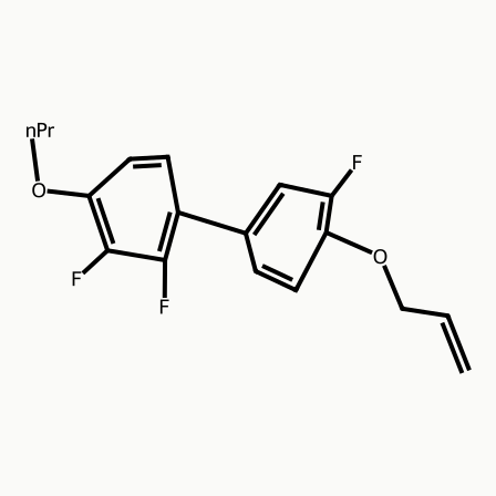 C=CCOc1ccc(-c2ccc(OCCC)c(F)c2F)cc1F